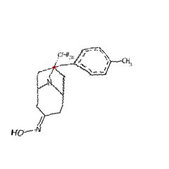 Cc1ccc(CN2C3CC(=NO)CC2CC(C)C3)cc1